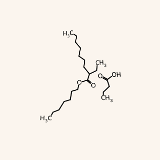 CCCC(=O)O.CCCCCCCOC(=O)C(CC)CCCCCCC